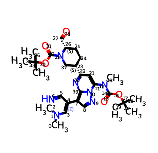 CN(C)/C=C(\C=N)c1cnn2c(N(C)C(=O)OC(C)(C)C)cc([C@H]3CC[C@@H](C=O)N(C(=O)OC(C)(C)C)C3)nc12